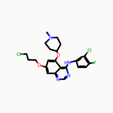 CN1CCC(Oc2cc(OCCCCl)cc3ncnc(Nc4ccc(F)c(Cl)c4)c23)CC1